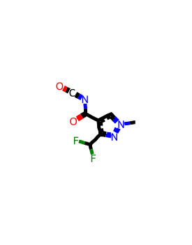 Cn1cc(C(=O)N=C=O)c(C(F)F)n1